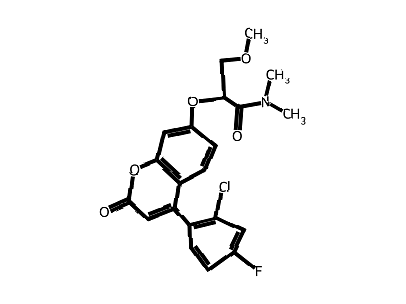 COCC(Oc1ccc2c(-c3ccc(F)cc3Cl)cc(=O)oc2c1)C(=O)N(C)C